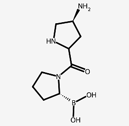 N[C@@H]1CNC(C(=O)N2CCC[C@H]2B(O)O)C1